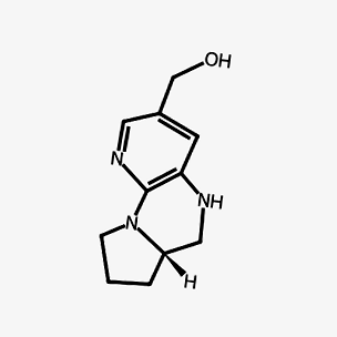 OCc1cnc2c(c1)NC[C@@H]1CCCN21